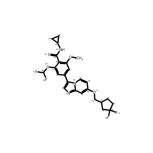 COc1cc(-c2cnc3cc(OCC4CCC(F)(F)C4)ccn23)cc(OC(F)F)c1C(=O)NC1CC1